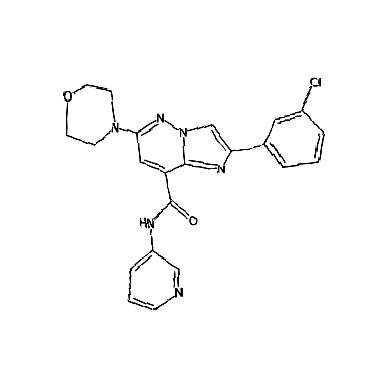 O=C(Nc1cccnc1)c1cc(N2CCOCC2)nn2cc(-c3cccc(Cl)c3)nc12